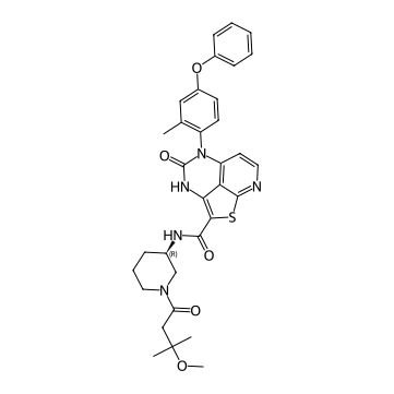 COC(C)(C)CC(=O)N1CCC[C@@H](NC(=O)c2sc3nccc4c3c2NC(=O)N4c2ccc(Oc3ccccc3)cc2C)C1